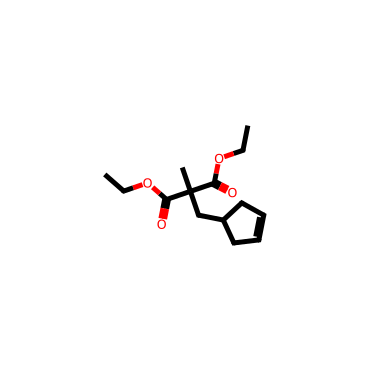 CCOC(=O)C(C)(CC1CC=CC1)C(=O)OCC